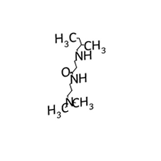 CCC(C)CNCCC(=O)NCCCN(C)C